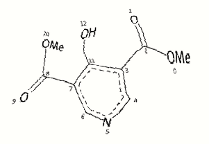 COC(=O)c1cncc(C(=O)OC)c1O